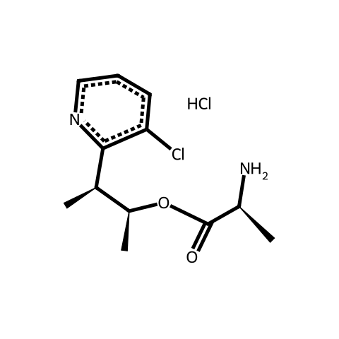 C[C@H](N)C(=O)O[C@@H](C)[C@@H](C)c1ncccc1Cl.Cl